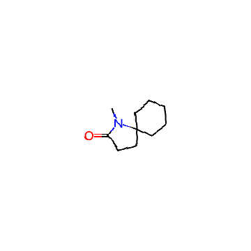 CN1C(=O)CCC12CCCCC2